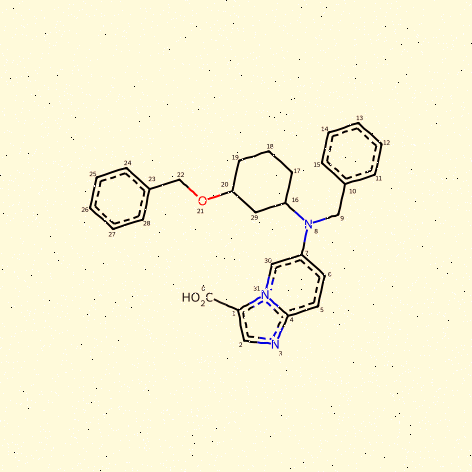 O=C(O)c1cnc2ccc(N(Cc3ccccc3)C3CCCC(OCc4ccccc4)C3)cn12